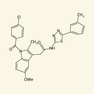 COc1ccc2c(c1)c(CC(=O)Nc1nnc(-c3cccc(C)c3)s1)c(C)n2C(=O)c1ccc(Cl)cc1